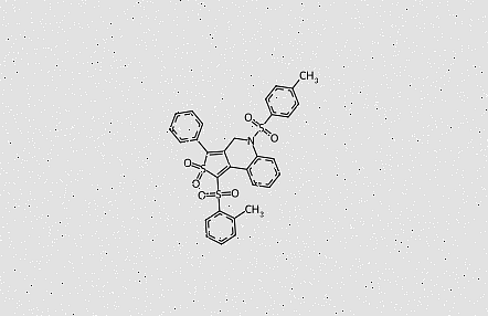 Cc1ccc(S(=O)(=O)N2CC3=C(c4ccccc4)S(=O)(=O)C(S(=O)(=O)c4ccccc4C)=C3c3ccccc32)cc1